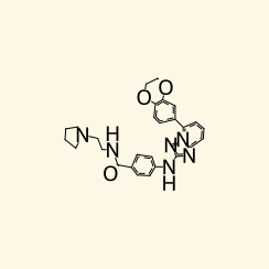 O=C(NCCN1CCCC1)c1ccc(Nc2nc3cccc(-c4ccc5c(c4)OCCO5)n3n2)cc1